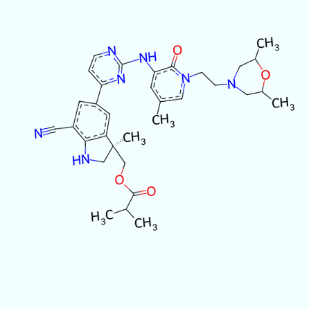 Cc1cc(Nc2nccc(-c3cc(C#N)c4c(c3)[C@@](C)(COC(=O)C(C)C)CN4)n2)c(=O)n(CCN2CC(C)OC(C)C2)c1